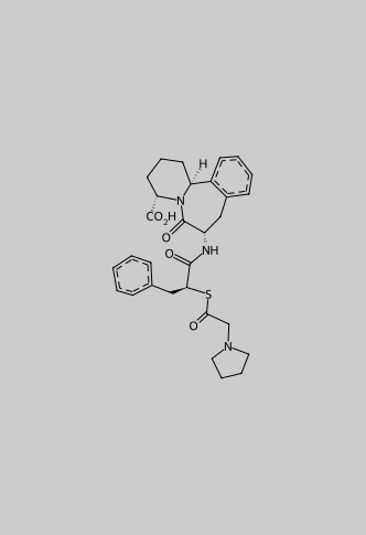 O=C(CN1CCCC1)S[C@@H](Cc1ccccc1)C(=O)N[C@H]1Cc2ccccc2[C@@H]2CCC[C@@H](C(=O)O)N2C1=O